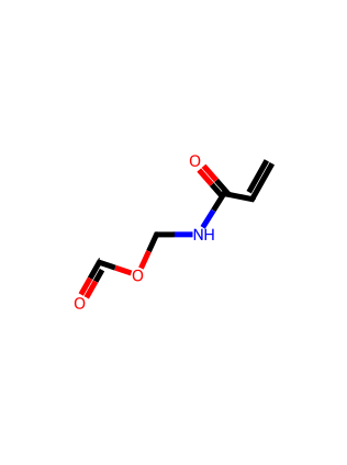 C=CC(=O)NCO[C]=O